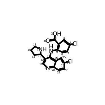 O=C(O)c1cc(Cl)ccc1Nc1c(C2CCCN2)cnc2ccc(Cl)cc12